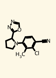 Cc1c(N2CCCC2c2nnco2)ccc(C#N)c1Cl